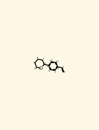 C=Cc1ccc(C2CCCCO2)cc1